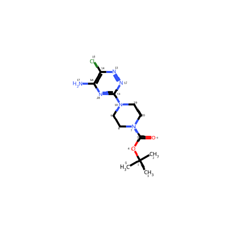 CC(C)(C)OC(=O)N1CCN(c2nnc(Cl)c(N)n2)CC1